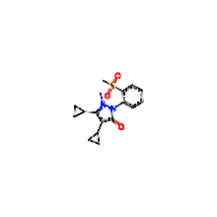 Cn1c(C2CC2)c(C2CC2)c(=O)n1-c1ccccc1S(C)(=O)=O